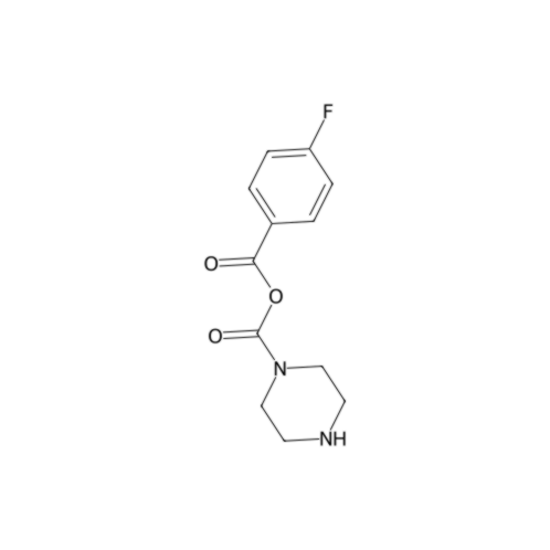 O=C(OC(=O)N1CCNCC1)c1ccc(F)cc1